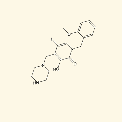 COc1ccccc1Cn1cc(I)c(CN2CCNCC2)c(O)c1=O